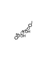 O[C@H](COc1ccc(I)cc1)CN1CCC(O)(c2cnc3ccccc3c2)CC1